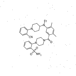 CCN(c1cc(C(=O)N2CCN(c3ccccc3S(N)(=O)=O)CC2)c(C)cc1C)C1CCN(c2ccccc2C#N)CC1